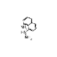 N.NNc1cccc2ccccc12